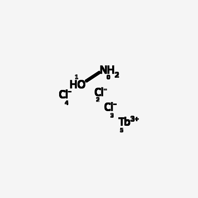 NO.[Cl-].[Cl-].[Cl-].[Tb+3]